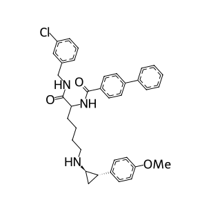 COc1ccc([C@@H]2C[C@H]2NCCCCC(NC(=O)c2ccc(-c3ccccc3)cc2)C(=O)NCc2cccc(Cl)c2)cc1